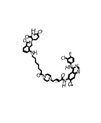 COc1cc2ncnc(Nc3ccc(F)c(Cl)c3)c2cc1NC(=O)/C=C/CN1CCN(C(=O)CCCCCCNc2cccc3c2CN(C2CCC(=O)NC2=O)C3=O)CC1